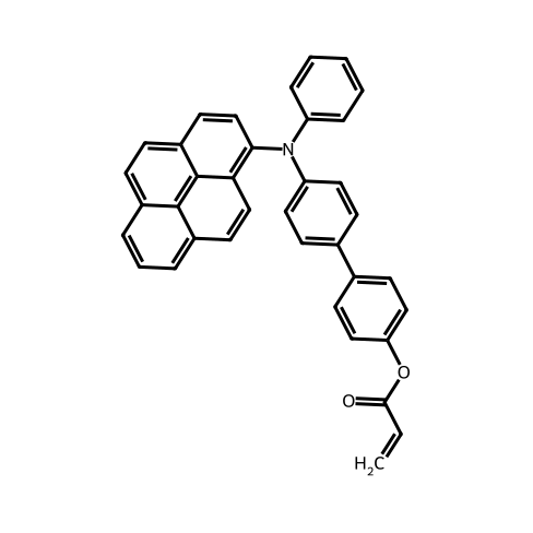 C=CC(=O)Oc1ccc(-c2ccc(N(c3ccccc3)c3ccc4ccc5cccc6ccc3c4c56)cc2)cc1